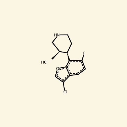 C[C@H]1CNCC[C@H]1c1c(F)ccc2c(Cl)coc12.Cl